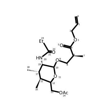 C=CCOC(=O)[C@@H](C)COC1OC(COC(C)=O)[C@@H](C)[C@H](C)[C@@H]1NC(=O)CC